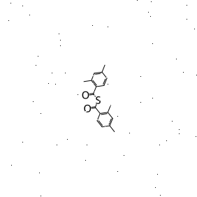 Cc1ccc(C(=O)SC(=O)c2ccc(C)cc2C)c(C)c1